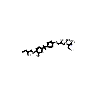 CC(C)(c1ccc(OCC(O)CN(N)/C(=C\N)CO)cc1)c1ccc(OCC(O)CCl)c(Br)c1